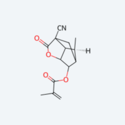 C=C(C)C(=O)OC1C2OC(=O)C3(C#N)CC1[C@H](C)C23